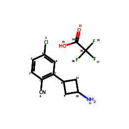 N#Cc1ccc(Cl)cc1C1CC(N)C1.O=C(O)C(F)(F)F